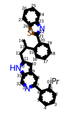 CC(C)c1ccccc1-c1cc2cc(CC(C)c3ccccc3-c3nc4ccccc4s3)[nH]c2cn1